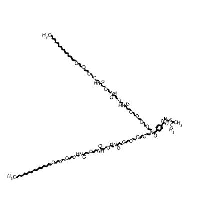 CCCCCCCCCCCCCCCCOCCOCCOCCOCCNC(=O)CCOCCNC(=O)CCOCCNC(=O)CCOCCOCCOCCOCCN(CCOCCOCCOCCOCCC(=O)NCCOCCC(=O)NCCOCCC(=O)NCCOCCOCCOCCOCCCCCCCCCCCCCCCC)C(=O)c1ccc(-c2nnc(SC(C)C)o2)cc1